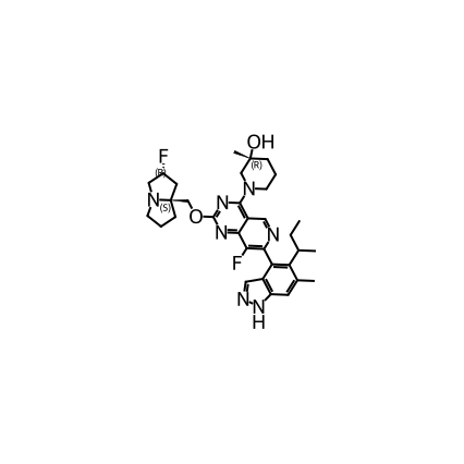 CCC(C)c1c(C)cc2[nH]ncc2c1-c1ncc2c(N3CCC[C@@](C)(O)C3)nc(OC[C@@]34CCCN3C[C@H](F)C4)nc2c1F